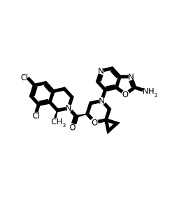 C[C@H]1c2c(Cl)cc(Cl)cc2CCN1C(=O)[C@H]1CN(c2cncc3nc(N)oc23)CC2(CC2)O1